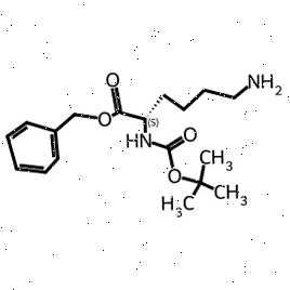 CC(C)(C)OC(=O)N[C@@H](CCCCN)C(=O)OCc1ccccc1